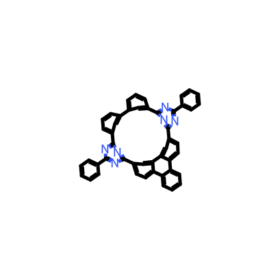 c1ccc(-c2nc3nc(n2)c2ccc4c5ccccc5c5ccc(cc5c4c2)c2nc(-c4ccccc4)nc(n2)c2cccc(c2)c2cccc3c2)cc1